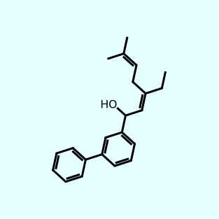 CCC(=CC(O)c1cccc(-c2ccccc2)c1)CC=C(C)C